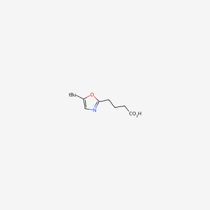 CC(C)(C)c1cnc(CCCC(=O)O)o1